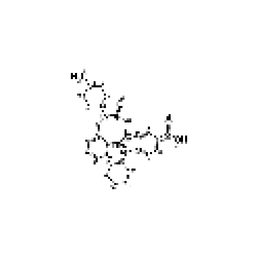 CN1CCC(N2Cc3ccccc3-c3c(C4CCCCC4)c4ccc(C(=O)O)cc4n3CC2=O)CC1